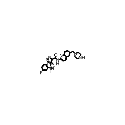 Cc1c(C(=O)Nc2ccc3cc(CN4CCNCC4)ccc3n2)nnn1-c1ccc(F)cc1C(F)(F)F